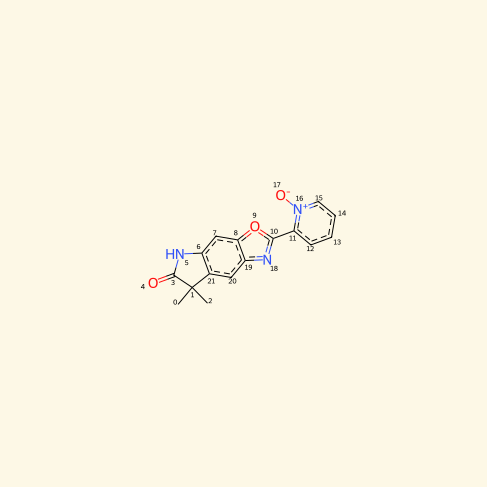 CC1(C)C(=O)Nc2cc3oc(-c4cccc[n+]4[O-])nc3cc21